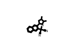 CC1CC(c2cc3ccccc3cc2C(C#N)(C#N)C#N)CC1C